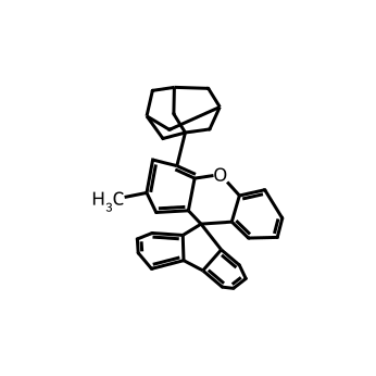 Cc1cc(C23CC4CC(CC(C4)C2)C3)c2c(c1)C1(c3ccccc3O2)c2ccccc2-c2ccccc21